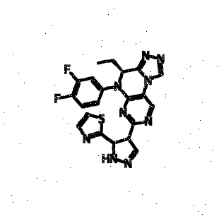 CC[C@H]1c2nncn2-c2cnc(C3C=NNC3c3nccs3)nc2N1c1ccc(F)c(F)c1